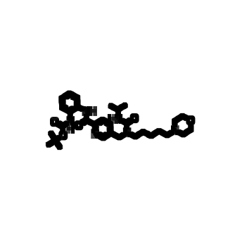 CC(C)NC(=O)N(CCCCCN1CCOCC1)Cc1ccc(C(=O)Nc2ccccc2NC(=O)OC(C)(C)C)nc1